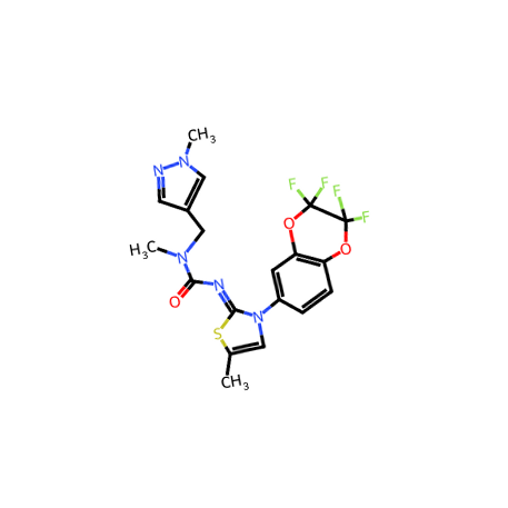 Cc1cn(-c2ccc3c(c2)OC(F)(F)C(F)(F)O3)c(=NC(=O)N(C)Cc2cnn(C)c2)s1